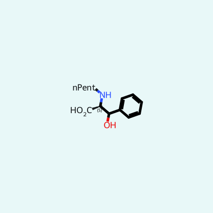 CCCCCN[C@H](C(=O)O)C(O)c1ccccc1